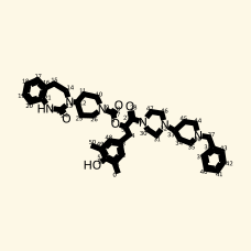 Cc1cc(CC(OC(=O)N2CCC(N3CCc4ccccc4NC3=O)CC2)C(=O)N2CCN(C3CCN(Cc4ccccc4)CC3)CC2)cc(C)c1O